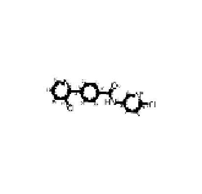 O=C(Nc1ccc(Cl)nc1)c1ccc(-c2ncccc2Cl)cc1